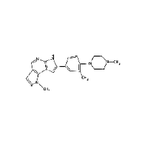 Cc1cc(-c2cc3c(ncc4cnn(C)c43)[nH]2)ccc1N1CCN(C)CC1